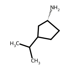 CC(C)C1CC[C@@H](N)C1